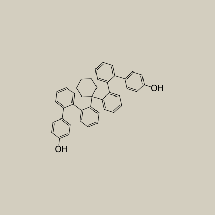 Oc1ccc(-c2ccccc2-c2ccccc2C2(c3ccccc3-c3ccccc3-c3ccc(O)cc3)CCCCC2)cc1